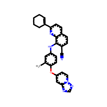 Cc1cc(Nc2c(C#N)ccc3ccc(C4=CCCCC4)nc23)ccc1Oc1ccn2ncnc2c1